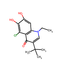 CCn1cc(C(C)(C)C)c(=O)c2c(Cl)c(O)c(O)cc21